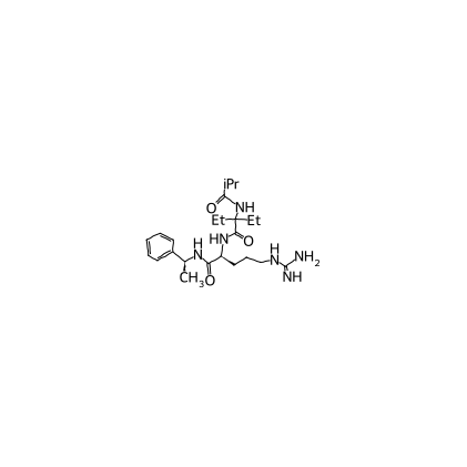 CCC(CC)(NC(=O)C(C)C)C(=O)N[C@@H](CCCNC(=N)N)C(=O)N[C@@H](C)c1ccccc1